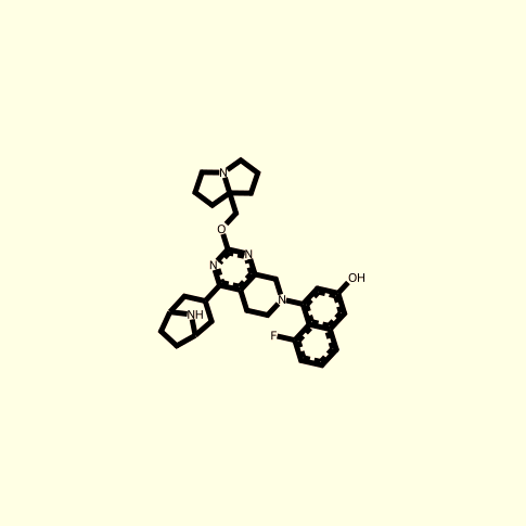 Oc1cc(N2CCc3c(nc(OCC45CCCN4CCC5)nc3C3CC4CCC(C3)N4)C2)c2c(F)cccc2c1